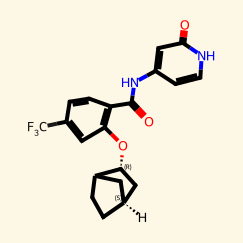 O=C(Nc1cc[nH]c(=O)c1)c1ccc(C(F)(F)F)cc1O[C@@H]1C[C@H]2CCC1C2